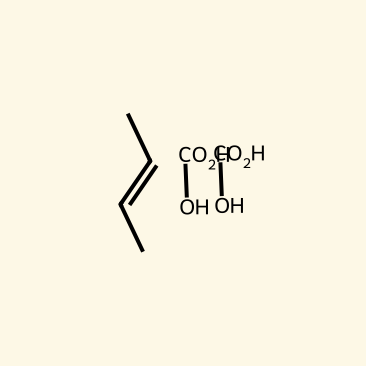 CC=CC.O=C(O)O.O=C(O)O